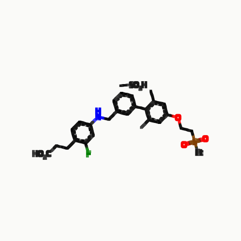 CCS(=O)(=O)CCOc1cc(C)c(-c2cccc(CNc3ccc(CCC(=O)O)c(F)c3)c2)c(C)c1.CS(=O)(=O)O